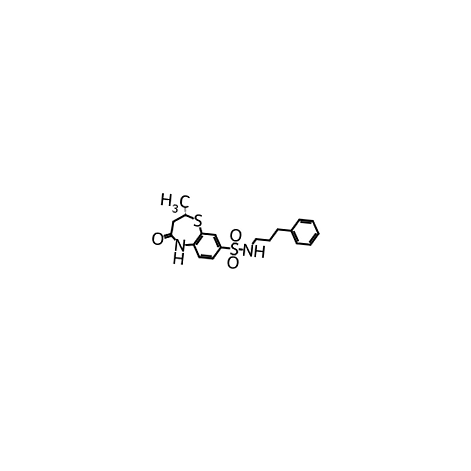 C[C@H]1CC(=O)Nc2ccc(S(=O)(=O)NCCCc3ccccc3)cc2S1